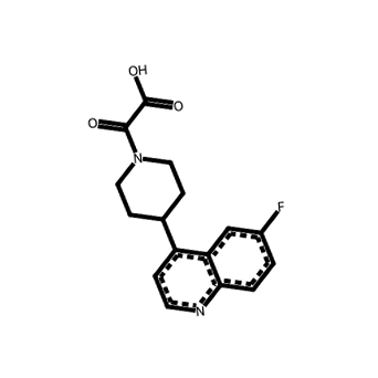 O=C(O)C(=O)N1CCC(c2ccnc3ccc(F)cc23)CC1